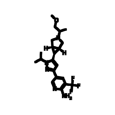 COCC(C)N1C[C@@H]2[C@H](C1)[C@H]2c1cc(-c2cnc(N)c(C(F)(F)F)c2)nn1C(C)C